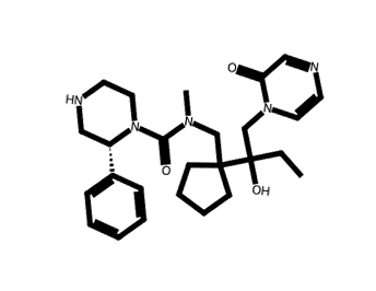 CCC(O)(Cn1ccncc1=O)C1(CN(C)C(=O)N2CCNC[C@H]2c2ccccc2)CCCC1